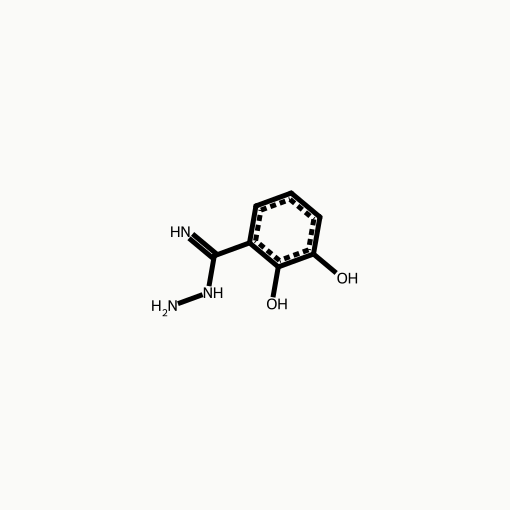 N=C(NN)c1cccc(O)c1O